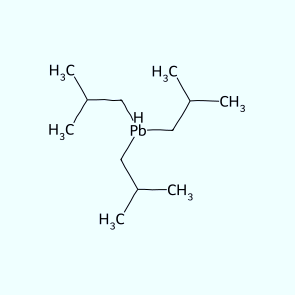 CC(C)[CH2][PbH]([CH2]C(C)C)[CH2]C(C)C